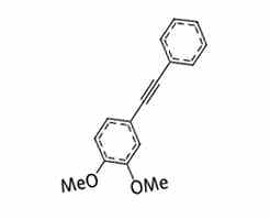 COc1ccc(C#Cc2ccccc2)cc1OC